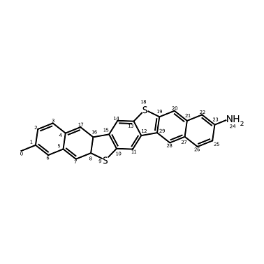 Cc1ccc2c(c1)=CC1Sc3cc4c(cc3C1C=2)sc1cc2cc(N)ccc2cc14